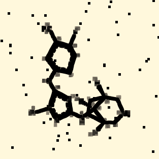 CC(C)n1nc(N[C@H]2[C@@H]3CC[C@H]2CNC3)nc1Oc1ccc(F)c(C(F)(F)F)c1